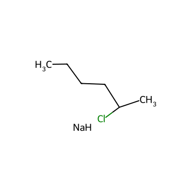 CCCCC(C)Cl.[NaH]